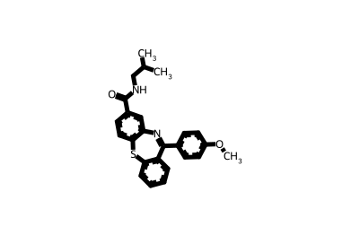 COc1ccc(C2=Nc3cc(C(=O)NCC(C)C)ccc3Sc3ccccc32)cc1